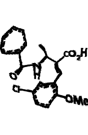 COc1ccc(Cl)cc1C=C(C(=O)O)C(C)NC(=O)c1ccccc1